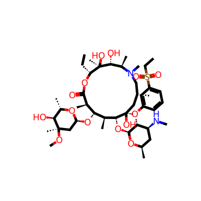 CC[C@H]1OC(=O)[C@H](C)[C@@H](O[C@H]2C[C@@](C)(OC)[C@@H](O)[C@H](C)O2)[C@H](C)[C@@H](O[C@@H]2O[C@H](C)C[C@H](NC)[C@H]2Oc2cccc(S(=O)(=O)CC)c2)[C@](C)(O)C[C@@H](C)CN(C)[C@H](C)[C@@H](O)[C@]1(C)O